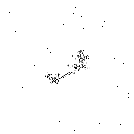 COc1cc(C(=O)NCCOCCOCCOCCNc2cccc3c2C(=O)N(C2CCC(=O)NC2=O)C3=O)c(N2CCN(C)CC2)cc1Nc1ncc2c(n1)N(C1CCCC1)CC(F)(F)C(=O)N2C